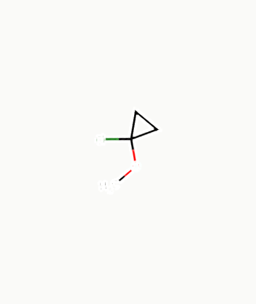 COC1(Cl)CC1